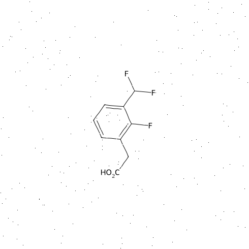 O=C(O)Cc1cccc(C(F)F)c1F